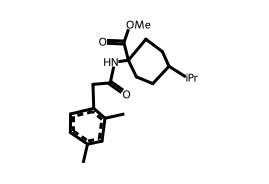 COC(=O)C1(NC(=O)Cc2ccc(C)cc2C)CCC(C(C)C)CC1